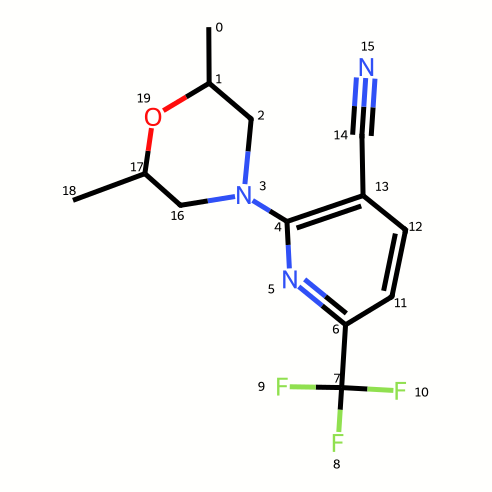 CC1CN(c2nc(C(F)(F)F)ccc2C#N)CC(C)O1